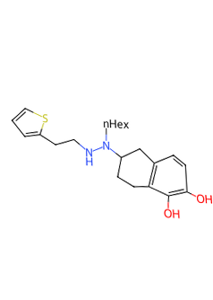 CCCCCCN(NCCc1cccs1)C1CCc2c(ccc(O)c2O)C1